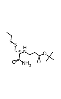 CCSSC[C@H](NCCC(=O)OC(C)(C)C)C(N)=O